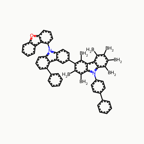 Bc1c(B)c(B)c2c(c1B)c1c(B)c(-c3ccc4c(c3)c3c(-c5ccccc5)cccc3n4-c3cccc4oc5ccccc5c34)c(B)c(B)c1n2-c1ccc(-c2ccccc2)cc1